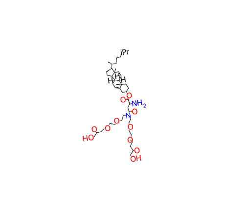 CC(C)CCC[C@H](C)[C@@H]1CC[C@@H]2[C@H]3CC=C4C[C@H](OC(=O)[C@@H](N)CC(=O)N(CCOCCOCCC(=O)CO)CCOCCOCCC(=O)CO)CC[C@@]4(C)[C@@H]3CC[C@]21C